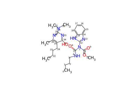 CCCCNC(=O)N(C(=O)OC)c1nc2ccccc2[nH]1.CCCCc1c(C)nc(N(C)C)nc1O